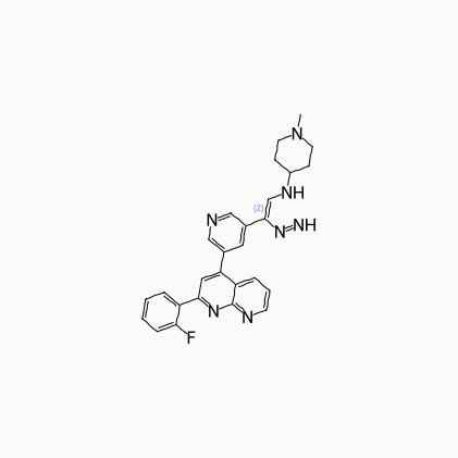 CN1CCC(N/C=C(\N=N)c2cncc(-c3cc(-c4ccccc4F)nc4ncccc34)c2)CC1